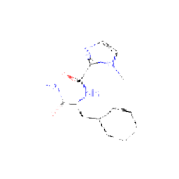 Cn1ccnc1C(=O)N[C@@H](CC1CCCCC1)C(N)=O